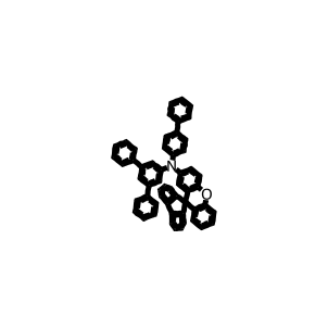 c1ccc(-c2ccc(N(c3cc(-c4ccccc4)cc(-c4ccccc4)c3)c3ccc4c(c3)C3(c5ccccc5O4)c4ccccc4-c4ccccc43)cc2)cc1